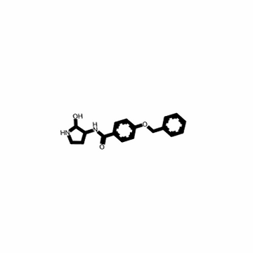 O=C(NC1CCNC1O)c1ccc(OCc2ccccc2)cc1